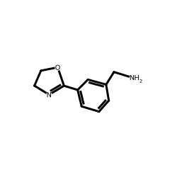 NCc1cccc(C2=NCCO2)c1